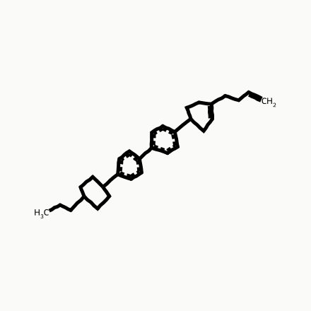 C=CCCC1=CCC(c2ccc(-c3ccc(C4CCC(CCC)CC4)cc3)cc2)CC1